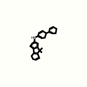 CC1(C)C2=C(CCC=C2)c2ccc(NC3=CCC(C4=CCCC=C4)C=C3)cc21